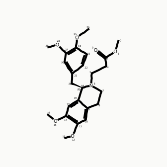 COC(=O)CCN1CCc2cc(OC)c(OC)cc2[C@H]1Cc1ccc(OC)c(OC)c1